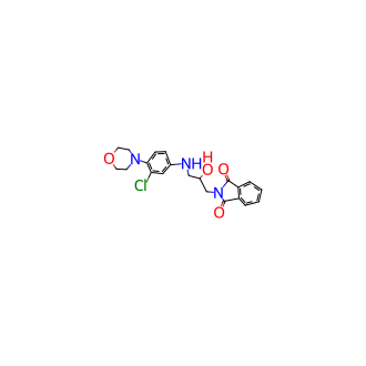 O=C1c2ccccc2C(=O)N1CC(O)CNc1ccc(N2CCOCC2)c(Cl)c1